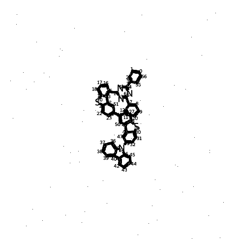 c1ccc(-c2nc(-c3ccccc3)nc(-c3cccc4sc5ccc(-c6ccc7sc8ccc(-n9c%10ccccc%10c%10ccccc%109)cc8c7c6)cc5c34)n2)cc1